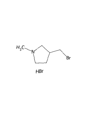 Br.CN1CCC(CBr)C1